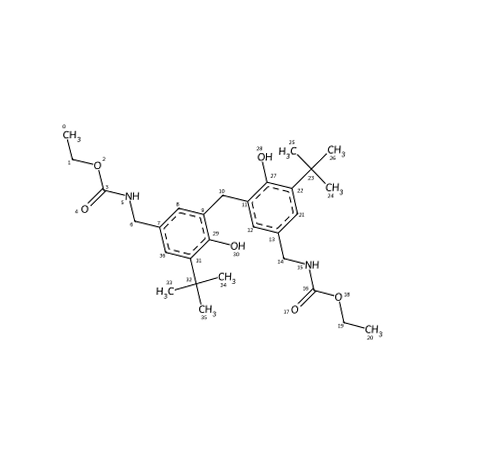 CCOC(=O)NCc1cc(Cc2cc(CNC(=O)OCC)cc(C(C)(C)C)c2O)c(O)c(C(C)(C)C)c1